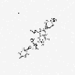 CCN1CCN(c2cc(C)c3cc(NC(=O)COc4ccccc4)ccc3n2)CC1